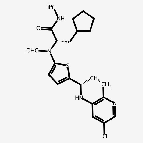 Cc1ncc(Cl)cc1N[C@@H](C)c1ccc(N(C=O)[C@@H](CC2CCCC2)C(=O)NC(C)C)s1